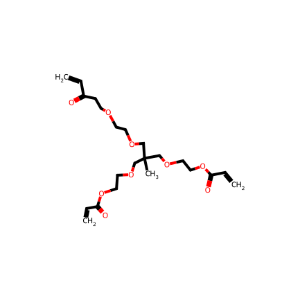 C=CC(=O)CCOCCOCC(C)(COCCOC(=O)C=C)COCCOC(=O)C=C